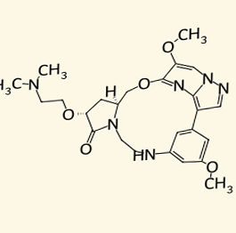 COc1cc2cc(c1)-c1cnn3cc(OC)c(nc13)OC[C@@H]1C[C@@H](OCCN(C)C)C(=O)N1CCN2